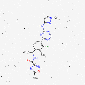 Cc1c(C(C)NC(=O)c2noc(C(C)(C)C)n2)ccc(-c2ncnc(Nc3ccn(C)n3)n2)c1Cl